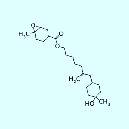 C=C(CCCCCOC(=O)C1CCC2(C)OC2C1)CC1CCC(C)(O)CC1